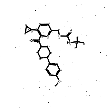 COc1ccc(C2CCC(C(=O)c3nc(COC(=O)NC(C)(C)C)ccc3C3CC3)CC2)cc1